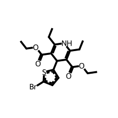 CCOC(=O)C1=C(CC)NC(CC)=C(C(=O)OCC)C1c1ccc(Br)s1